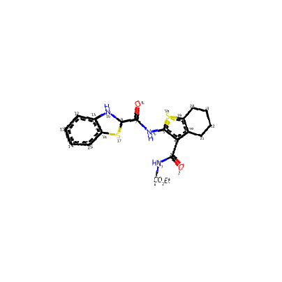 CCOC(=O)NC(=O)c1c(NC(=O)C2Nc3ccccc3S2)sc2c1CCCC2